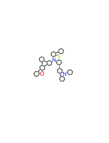 c1ccc(-n2c3ccccc3c3ccc(-c4cccc(N(c5ccc6c(c5)c5ccccc5c5cc7c(cc65)oc5ccccc57)c5cccc6c5sc5ccccc56)c4)cc32)cc1